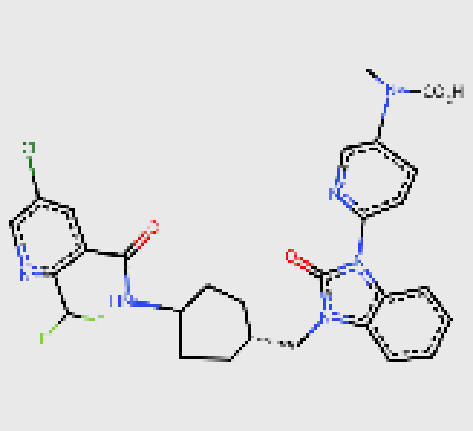 CN(C(=O)O)c1ccc(-n2c(=O)n(C[C@H]3CC[C@H](NC(=O)c4cc(Cl)cnc4C(F)F)CC3)c3ccccc32)nc1